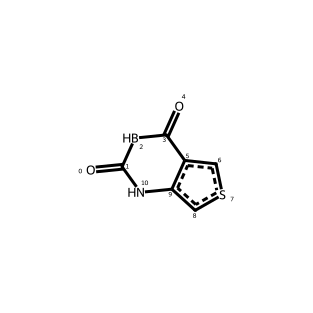 O=C1BC(=O)c2cscc2N1